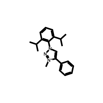 CC(C)c1cccc(C(C)C)c1-n1cc(-c2ccccc2)[n+](C)n1